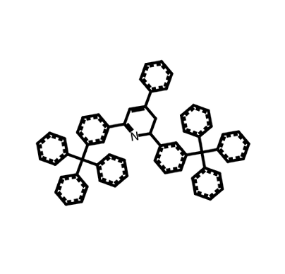 C1=C(c2ccccc2)CC(c2cccc(C(c3ccccc3)(c3ccccc3)c3ccccc3)c2)N=C1c1cccc(C(c2ccccc2)(c2ccccc2)c2ccccc2)c1